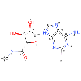 CNC(=O)[C@H]1O[C@@H](n2cnc3c(N)nc(I)nc32)[C@H](O)[C@@H]1O